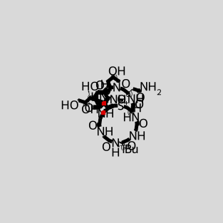 CC[C@H](C)[C@@H]1NC(=O)CNC(=O)C2Cc3c([nH]c4cc(O)ccc34)[S+]([O-])C[C@H](NC(=O)CNC1=O)C(=O)N[C@@H](CC(N)=O)C(=O)N1C[C@H](O)C[C@H]1C(=O)N[C@@H]([C@@H](C)[C@@H](O)CO)C(=O)N2